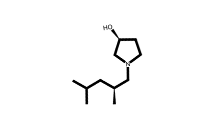 CC(C)C[C@H](C)CN1CC[C@H](O)C1